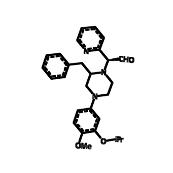 COc1ccc(N2CCN([C@H](C=O)c3ccccn3)C(Cc3ccccc3)C2)cc1OC(C)C